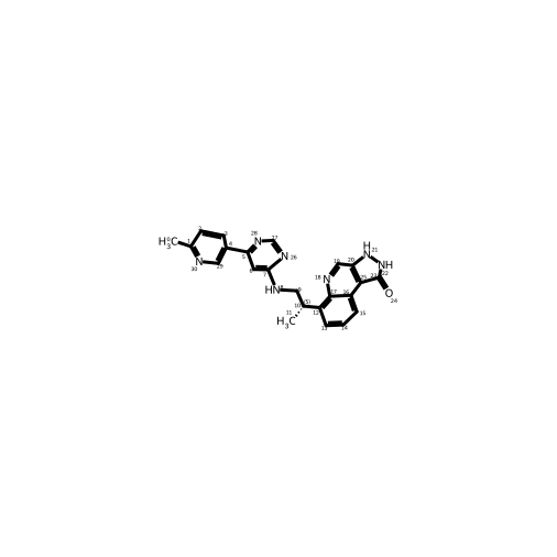 Cc1ccc(-c2cc(NC[C@@H](C)c3cccc4c3ncc3[nH][nH]c(=O)c34)ncn2)cn1